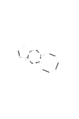 [C]1=CCc2cc3c(cc21)\C=C/C=C\C=C/3